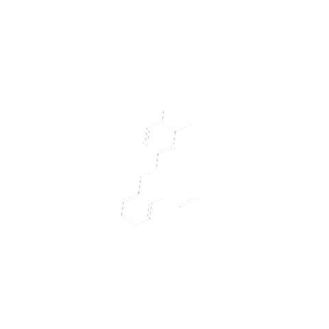 CC(=O)Nc1nc(OCc2ccccc2OC=N)ncc1F